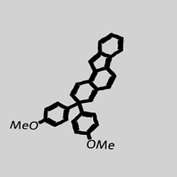 COc1ccc(C2(c3ccc(OC)cc3)C=Cc3c4c(ccc3=C2)=c2ccccc2=C4)cc1